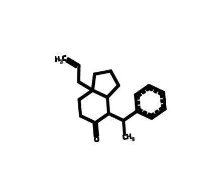 C=CCC12CCCC1C(C(C)c1ccccc1)C(=O)CC2